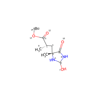 C[C@@H](C[C@@]1(C)NC(O)NC1=O)C(=O)OC(C)(C)C